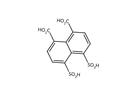 O=C(O)c1ccc(S(=O)(=O)O)c2c(S(=O)(=O)O)ccc(C(=O)O)c12